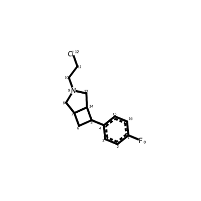 Fc1ccc(C2CC3CN(CCCl)CC32)cc1